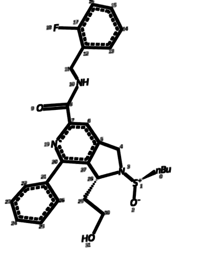 CCCC[S@@+]([O-])N1Cc2cc(C(=O)NCc3ccccc3F)nc(-c3ccccc3)c2[C@H]1CCO